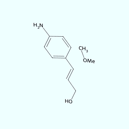 COC.Nc1ccc(C=CCO)cc1